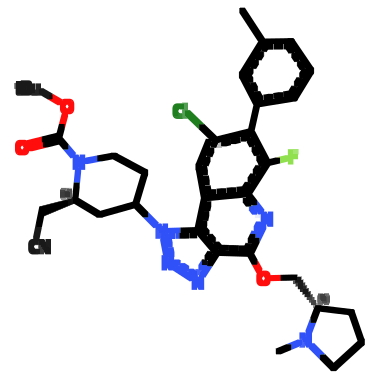 Cc1cccc(-c2c(Cl)cc3c(nc(OC[C@@H]4CCCN4C)c4nnn(C5CCN(C(=O)OC(C)(C)C)[C@H](CC#N)C5)c43)c2F)c1